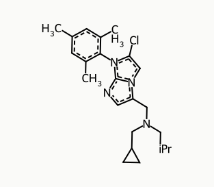 Cc1cc(C)c(-n2c(Cl)cn3c(CN(CC(C)C)CC4CC4)cnc23)c(C)c1